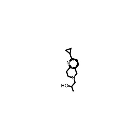 CC(O)CN1CCc2nc(C3CC3)ccc2C1